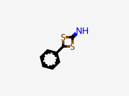 N=C1SC(c2ccccc2)S1